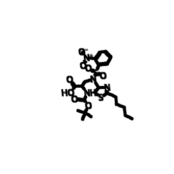 CCCCCC1=NC(N(CC(NC(=O)OC(C)(C)C)C(=O)O)S(=O)(=O)c2ccccc2[N+](=O)[O-])CS1